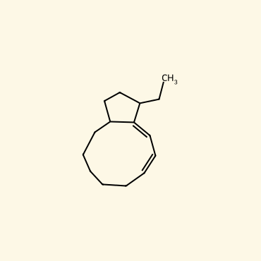 CCC1CCC2CCCCCC=CC=C12